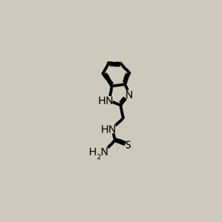 NC(=S)NCc1nc2ccccc2[nH]1